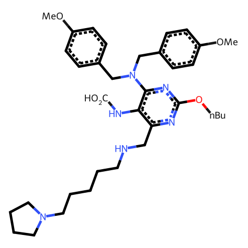 CCCCOc1nc(CNCCCCCN2CCCC2)c(NC(=O)O)c(N(Cc2ccc(OC)cc2)Cc2ccc(OC)cc2)n1